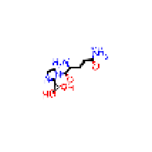 NC(=O)CC[C@H](N)C(=O)N1CCN=C1B(O)O